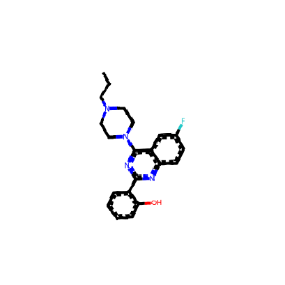 CCCN1CCN(c2nc(-c3ccccc3O)nc3ccc(F)cc23)CC1